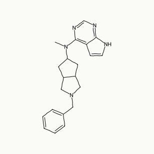 CN(c1ncnc2[nH]ccc12)C1CC2CN(Cc3ccccc3)CC2C1